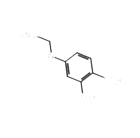 CCCCCCCCCCNc1ccc(C(=O)O)c(C(=O)O)c1